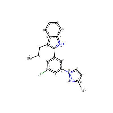 CC(C)(C)CCc1c(-c2cc(F)cc(-n3ccc(C(C)(C)C)n3)c2)[nH]c2ccccc12